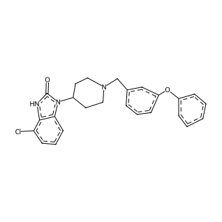 O=c1[nH]c2c(Cl)cccc2n1C1CCN(Cc2cccc(Oc3ccccc3)c2)CC1